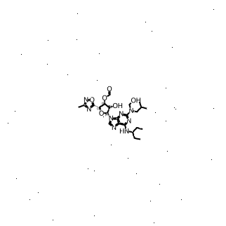 CCC(CC)Nc1nc(N(CO)CC(C)C)nc2c1ncn2[C@@H]1O[C@H](c2nc(C)no2)[C@@H](OC=O)[C@H]1O